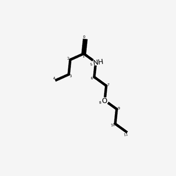 C=C(CCC)NCCOCCC